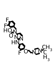 CC(C)N1CCN(CCOc2ccc(Nc3nccc(N(Cc4ccc(F)c(F)c4)C(=O)O)n3)cc2F)CC1